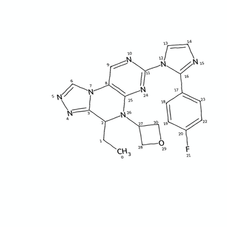 CCC1c2nncn2-c2cnc(-n3ccnc3-c3ccc(F)cc3)nc2N1C1COC1